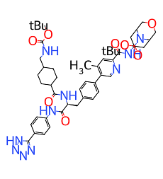 Cc1cc(C(=O)NC2CC3COCC(C2)N3C(=O)OC(C)(C)C)ncc1-c1ccc(C[C@H](NC(=O)C2CCC(CNC(=O)OC(C)(C)C)CC2)C(=O)Nc2ccc(-c3nnn[nH]3)cc2)cc1